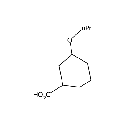 CCCOC1CCCC(C(=O)O)C1